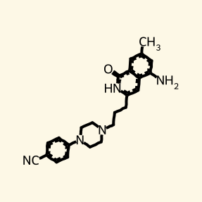 Cc1cc(N)c2cc(CCCN3CCN(c4ccc(C#N)cc4)CC3)[nH]c(=O)c2c1